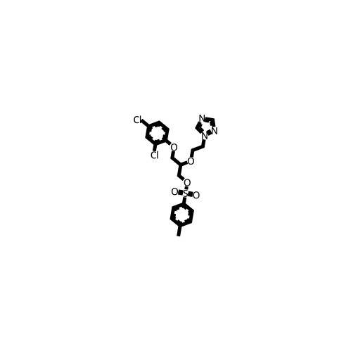 Cc1ccc(S(=O)(=O)OCC(COc2ccc(Cl)cc2Cl)OCCn2cncn2)cc1